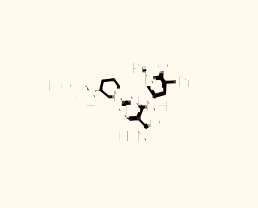 CC(C)c1cc(Nc2nc(N3CCC[C@H](NC(=O)O)C3)ncc2C(N)=O)cn(C(C)C)c1=O